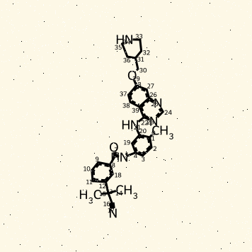 Cc1ccc(NC(=O)c2cccc(C(C)(C)C#N)c2)cc1Nc1ncnc2cc(OCC3CCNCC3)ccc12